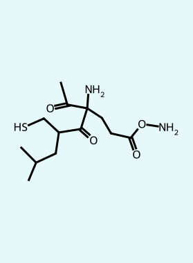 CC(=O)C(N)(CCC(=O)ON)C(=O)C(CS)CC(C)C